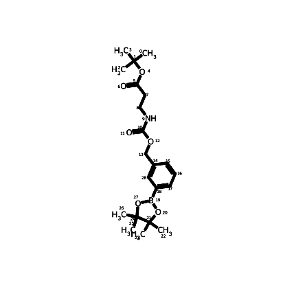 CC(C)(C)OC(=O)CCNC(=O)OCc1cccc(B2OC(C)(C)C(C)(C)O2)c1